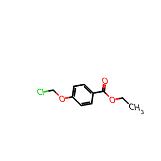 CCOC(=O)c1ccc(OCCl)cc1